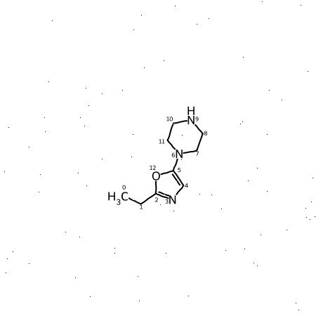 CCc1ncc(N2CCNCC2)o1